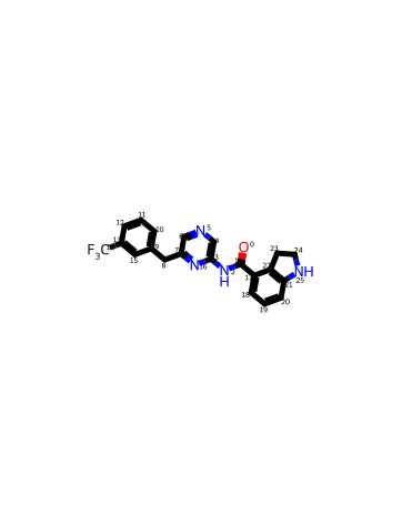 O=C(Nc1cncc(Cc2cccc(C(F)(F)F)c2)n1)c1cccc2c1CCN2